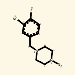 CCN1CCN(Cc2ccc(F)c(C#N)c2)CC1